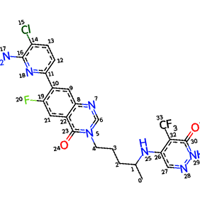 CC(CCCn1cnc2cc(-c3ccc(Cl)c(N)n3)c(F)cc2c1=O)Nc1cn[nH]c(=O)c1C(F)(F)F